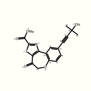 COC(=O)c1nc2c(s1)C(=O)COc1ccc(C#CC(C)(C)O)cc1-2